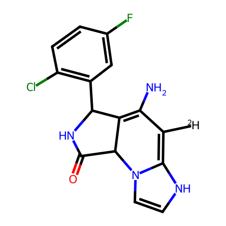 [2H]C1=C2NC=CN2C2C(=O)NC(c3cc(F)ccc3Cl)C2=C1N